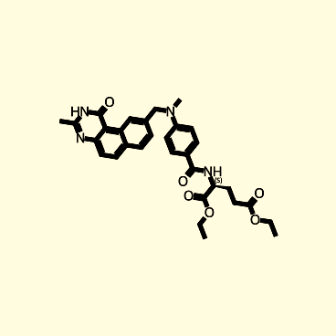 CCOC(=O)CC[C@H](NC(=O)c1ccc(N(C)Cc2ccc3ccc4nc(C)[nH]c(=O)c4c3c2)cc1)C(=O)OCC